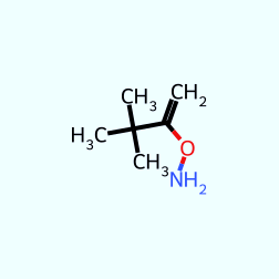 C=C(ON)C(C)(C)C